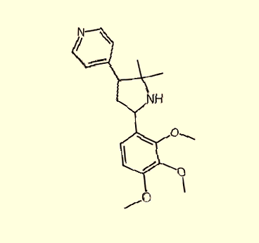 COc1ccc(C2CC(c3ccncc3)C(C)(C)N2)c(OC)c1OC